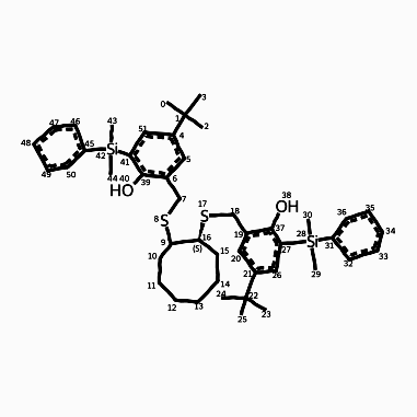 CC(C)(C)c1cc(CSC2CCCCCC[C@@H]2SCc2cc(C(C)(C)C)cc([Si](C)(C)c3ccccc3)c2O)c(O)c([Si](C)(C)c2ccccc2)c1